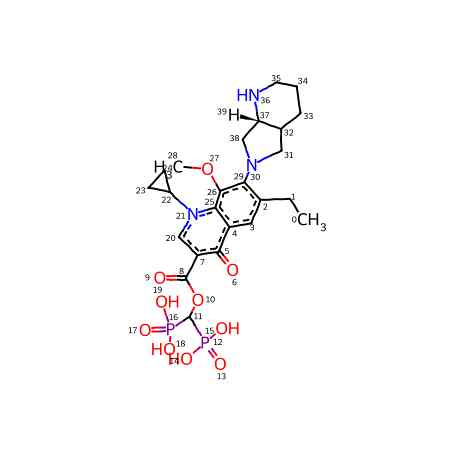 CCc1cc2c(=O)c(C(=O)OC(P(=O)(O)O)P(=O)(O)O)cn(C3CC3)c2c(OC)c1N1CC2CCCN[C@H]2C1